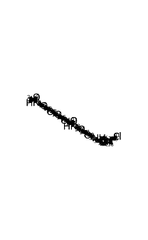 C=C(C)C(=O)NCCOCCOCCOCCOCCC(=O)NCCOCCOCCNCc1ccc(N(C)CCCl)cc1